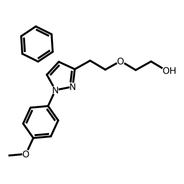 COc1ccc(-n2ccc(CCOCCO)n2)cc1.c1ccccc1